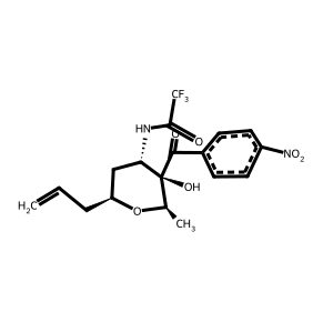 C=CC[C@H]1C[C@H](NC(=O)C(F)(F)F)[C@](O)(C(=O)c2ccc([N+](=O)[O-])cc2)[C@@H](C)O1